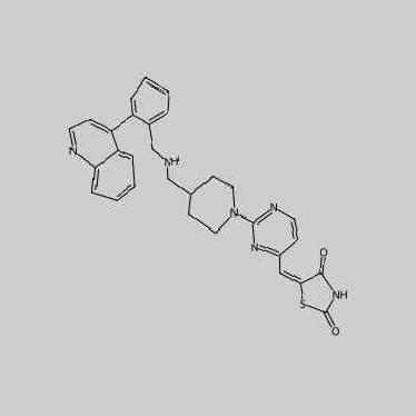 O=C1NC(=O)/C(=C\c2ccnc(N3CCC(CNCc4ccccc4-c4ccnc5ccccc45)CC3)n2)S1